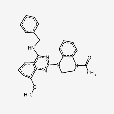 COc1cccc2c(NCc3ccccc3)nc(N3CCN(C(C)=O)c4ccccc43)nc12